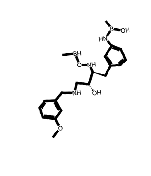 CBON[C@@H](Cc1cccc(NB(C)O)c1)[C@H](O)CNCc1cccc(OC)c1